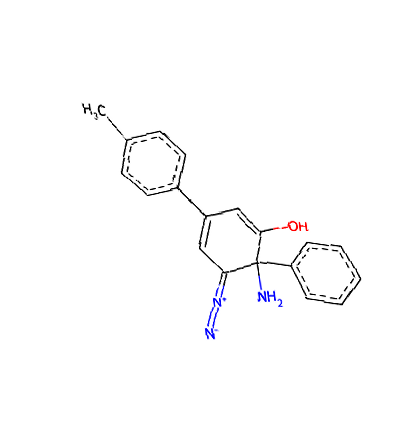 Cc1ccc(C2=CC(=[N+]=[N-])C(N)(c3ccccc3)C(O)=C2)cc1